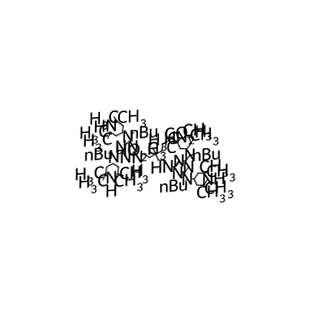 CCCCN(c1nc(NCCC(CCCC(=O)O)(CCNc2nc(N(CCCC)C3CC(C)(C)NC(C)(C)C3)nc(N(CCCC)C3CC(C)(C)NC(C)(C)C3)n2)C(=O)O)nc(N(CCCC)C2CC(C)(C)NC(C)(C)C2)n1)C1CC(C)(C)NC(C)(C)C1